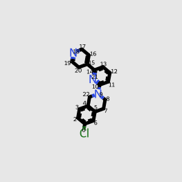 Clc1ccc2c(c1)CCN(c1cccc(C3=CCN=CC3)n1)C2